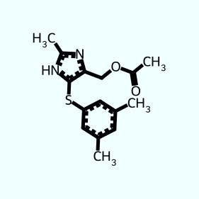 CC(=O)OCc1nc(C)[nH]c1Sc1cc(C)cc(C)c1